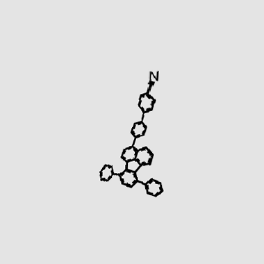 N#Cc1ccc(-c2ccc(-c3ccc4c5c(cccc35)-c3c(-c5ccccc5)ccc(-c5ccccc5)c3-4)cc2)cc1